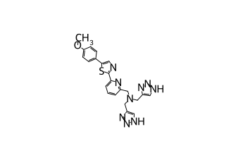 COc1ccc(-c2cnc(-c3cccc(CN(Cc4c[nH]nn4)Cc4c[nH]nn4)n3)s2)cc1